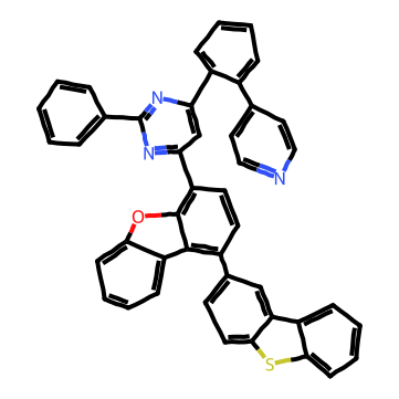 c1ccc(-c2nc(-c3ccccc3-c3ccncc3)cc(-c3ccc(-c4ccc5sc6ccccc6c5c4)c4c3oc3ccccc34)n2)cc1